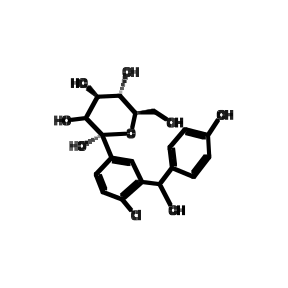 OC[C@H]1O[C@@](O)(c2ccc(Cl)c(C(O)c3ccc(O)cc3)c2)C(O)[C@@H](O)[C@@H]1O